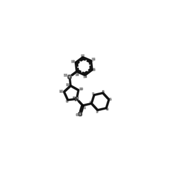 O=C(C1CCCCC1)N1CCC(Oc2cc[c]cc2)C1